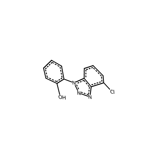 Oc1ccccc1-n1nnc2c(Cl)cccc21